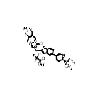 CN(C)c1ccc(-c2ccc3sc(Cn4cnn(CC(CN)=C(F)F)c4=O)cc3c2)cn1.O=C(O)C(F)(F)F